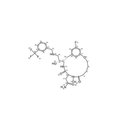 CN1C(=O)CCCCOc2cc(F)cc(c2)C[C@@H]([C@H](O)CNCc2cccc(C(F)(F)F)c2)NC(=O)C1CC(N)=O